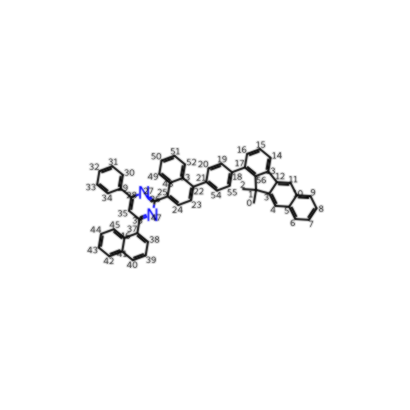 CC1(C)c2cc3ccccc3cc2-c2cccc(-c3ccc(-c4ccc(-c5nc(-c6ccccc6)cc(-c6cccc7ccccc67)n5)c5ccccc45)cc3)c21